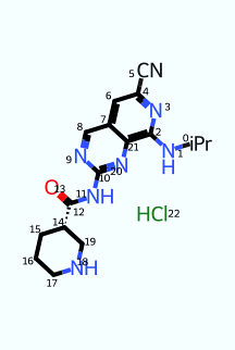 CC(C)Nc1nc(C#N)cc2cnc(NC(=O)[C@H]3CCCNC3)nc12.Cl